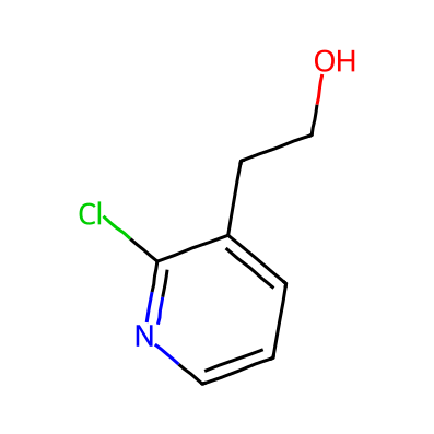 OCCc1cccnc1Cl